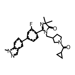 Cn1ncc2cc(-c3ccc(C4=NC(C)(C)C(=O)N4CC4CCN(C(=O)C5CC5)C4)c(F)c3)ccc21